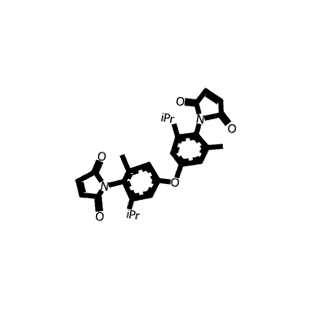 Cc1cc(Oc2cc(C)c(N3C(=O)C=CC3=O)c(C(C)C)c2)cc(C(C)C)c1N1C(=O)C=CC1=O